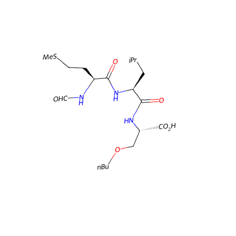 CCCCOC[C@H](NC(=O)[C@H](CC(C)C)NC(=O)[C@H](CCSC)NC=O)C(=O)O